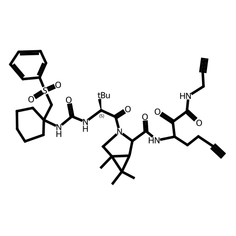 C#CCCC(NC(=O)C1C2C(C)(C)C2(C)CN1C(=O)[C@@H](NC(=O)NC1(CS(=O)(=O)c2ccccc2)CCCCC1)C(C)(C)C)C(=O)C(=O)NCC#C